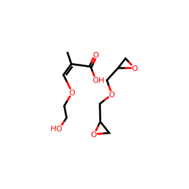 C(OCC1CO1)C1CO1.CC(=COCCO)C(=O)O